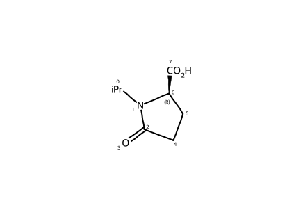 CC(C)N1C(=O)CC[C@@H]1C(=O)O